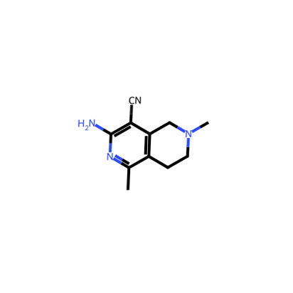 Cc1nc(N)c(C#N)c2c1CCN(C)C2